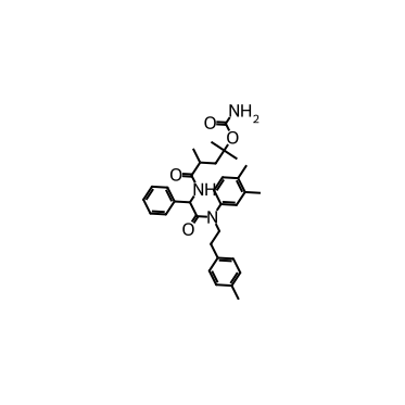 Cc1ccc(CCN(C(=O)C(NC(=O)C(C)CC(C)(C)OC(N)=O)c2ccccc2)c2ccc(C)c(C)c2)cc1